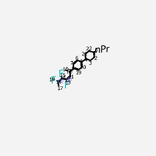 CCCC1CCC(c2ccc([C@H](C)/C=C(F)\C(F)=C(/C)F)cc2)CC1